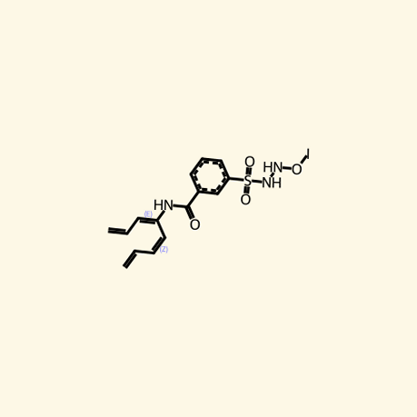 C=C/C=C\C(=C/C=C)NC(=O)c1cccc(S(=O)(=O)NNOI)c1